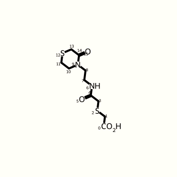 O=C(O)CSCC(=O)NCCN1CCSCC1=O